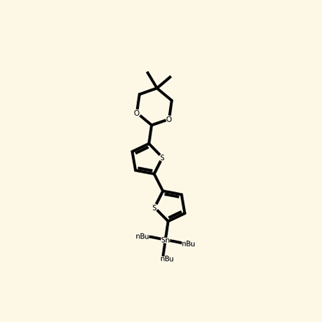 CCC[CH2][Sn]([CH2]CCC)([CH2]CCC)[c]1ccc(-c2ccc(C3OCC(C)(C)CO3)s2)s1